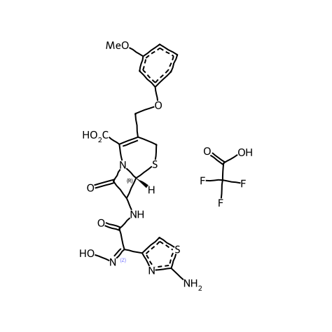 COc1cccc(OCC2=C(C(=O)O)N3C(=O)C(NC(=O)/C(=N\O)c4csc(N)n4)[C@H]3SC2)c1.O=C(O)C(F)(F)F